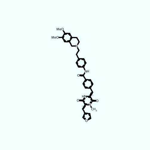 COc1cc2c(cc1OC)CN(CCc1ccc(NC(=O)c3ccc(/C=c4\[nH]c(=O)/c(=C/c5ccoc5)n(C)c4=O)cc3)cc1)CC2